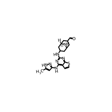 Cc1cc(Nc2nc(NC3CC4CC(C=O)C[C@@H](C3)N4)nc3sccc23)n[nH]1